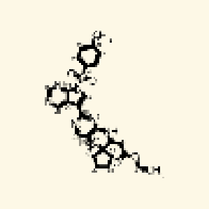 CCOC(=O)CC(Nc1nc(-c2cn(S(=O)(=O)c3ccc(C)cc3)c3ncncc23)ncc1F)C1(C)CCCC1